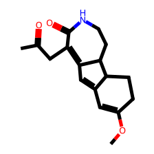 COC1=CC2=CC3=C(CC(C)=O)C(=O)NCCC3C2CC1